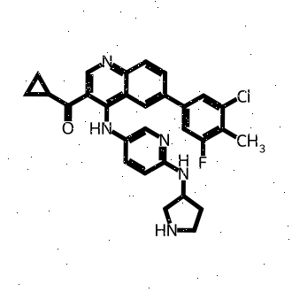 Cc1c(F)cc(-c2ccc3ncc(C(=O)C4CC4)c(Nc4ccc(NC5CCNC5)nc4)c3c2)cc1Cl